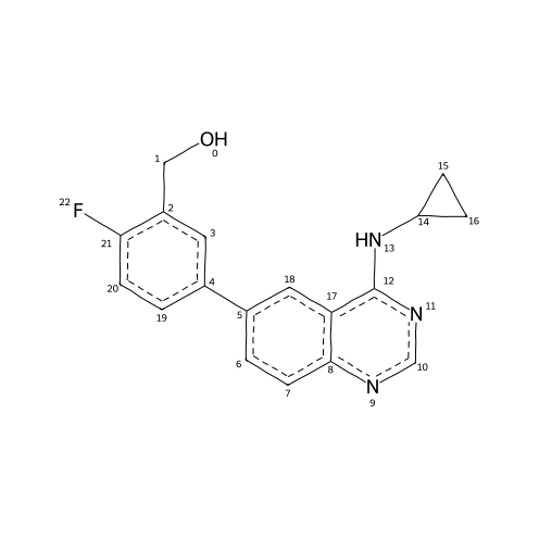 OCc1cc(-c2ccc3ncnc(NC4CC4)c3c2)ccc1F